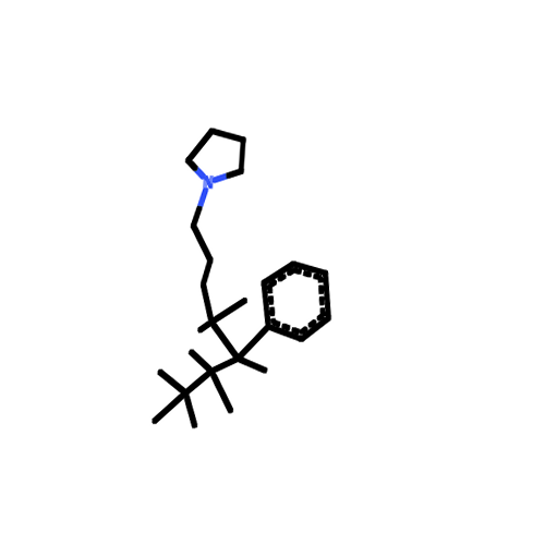 CC(C)(C)C(C)(C)C(C)(c1ccccc1)C(C)(C)CCCN1CCCC1